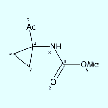 COC(=O)NC1(C(C)=O)CC1